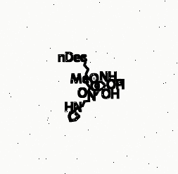 CCCCCCCCCCCCCCCCCC(=O)N(CCCNc1ccccc1)C[C@H]1O[C@H](OC)[C@@H](N)[C@@H](O)[C@@H]1O